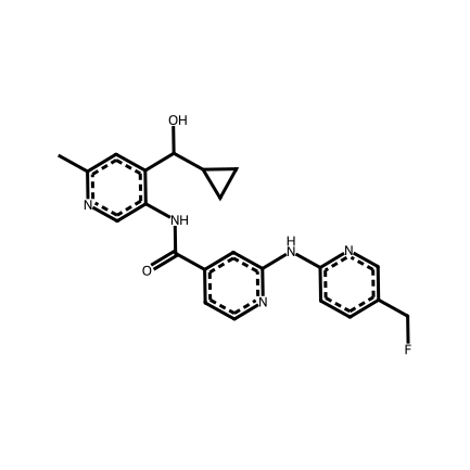 Cc1cc(C(O)C2CC2)c(NC(=O)c2ccnc(Nc3ccc(CF)cn3)c2)cn1